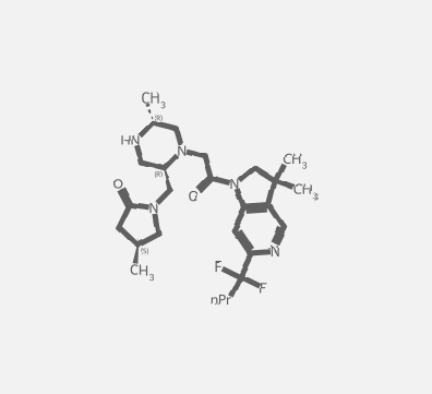 CCCC(F)(F)c1cc2c(cn1)C(C)(C)CN2C(=O)CN1C[C@@H](C)NC[C@@H]1CN1C[C@@H](C)CC1=O